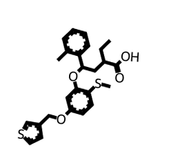 CCC(CC(Oc1cc(OCc2ccsc2)ccc1SC)c1ccccc1C)C(=O)O